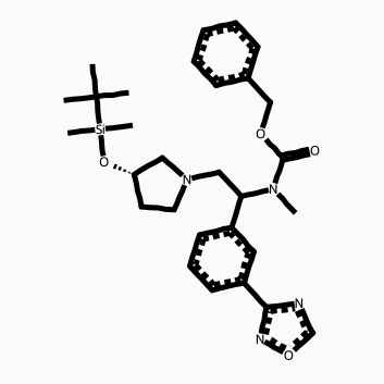 CN(C(=O)OCc1ccccc1)C(CN1CC[C@H](O[Si](C)(C)C(C)(C)C)C1)c1cccc(-c2ncon2)c1